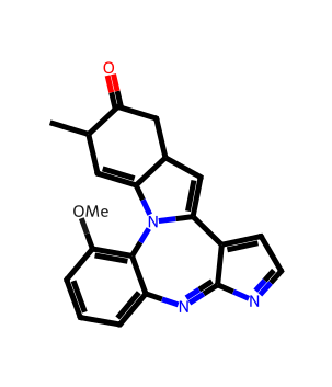 COc1cccc2c1N1C(=CC3CC(=O)C(C)C=C31)C1=CC=NC1=N2